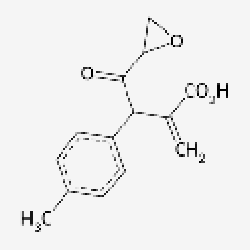 C=C(C(=O)O)C(C(=O)C1CO1)c1ccc(C)cc1